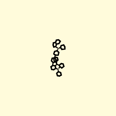 c1ccc(N2c3ccccc3C3(c4ccccc4)c4cc(-c5ccc(N(c6ccccc6)c6cccc7ccccc67)cc5)ccc4-c4cccc2c43)cc1